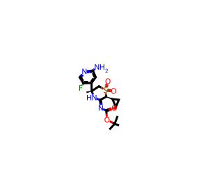 CC(C)(C)OC(=O)/N=C1/N[C@](C)(c2cc(N)ncc2F)CS(=O)(=O)[C@H]1C1CC1